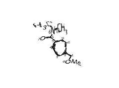 COCc1ccc(C(=O)N(C)C)cc1